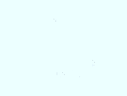 NC(=O)c1cc(-c2cnc3ccccc3c2)cc2c1NCC2